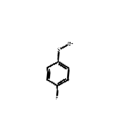 Fc1ccc(SBr)cc1